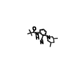 CC1CC(C)CN(c2cccc(NC(=O)C(C)(C)C)c2C#N)C1